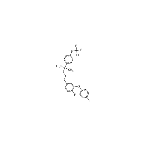 CC(C)(CCCc1ccc(F)c(Oc2ccc(F)cc2)c1)c1ccc(OC(F)(F)Cl)cc1